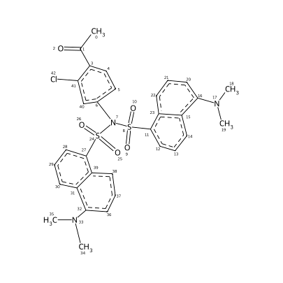 CC(=O)c1ccc(N(S(=O)(=O)c2cccc3c(N(C)C)cccc23)S(=O)(=O)c2cccc3c(N(C)C)cccc23)cc1Cl